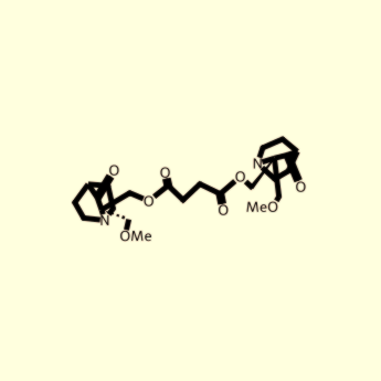 COC[C@@]1(COC(=O)CCC(=O)OC[C@]2(COC)C(=O)C3CCN2CC3)C(=O)C2CCN1CC2